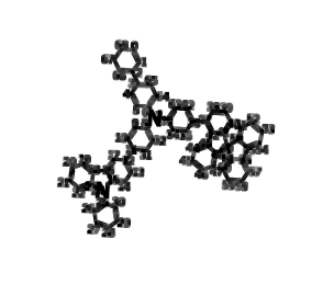 C1=CC(c2ccc(N(c3ccc(-c4ccc5c(c4)c4ccccc4n5-c4ccccc4)cc3)c3ccc(-c4cccc5c4-c4ccccc4C54c5ccccc5-c5ccccc54)cc3)cc2)=CCC1